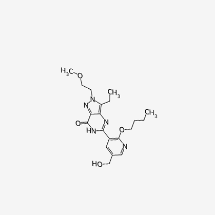 CCCCOc1ncc(CO)cc1-c1nc2c(CC)n(CCOC)nc2c(=O)[nH]1